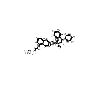 O=C(O)COc1cccc2cc(CNS(=O)(=O)C=C(c3ccccc3)c3ccccc3)ccc12